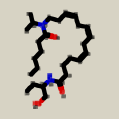 CCCCCC(=O)N(CC/C=C\C/C=C\C/C=C\CCCC(=O)NC(CC)CO)C(C)C